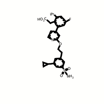 CC(C)c1cc(F)cc(-c2ccnc(OCCc3cc(C4CC4)cc(S(N)(=O)=O)c3)c2)c1CC(=O)O